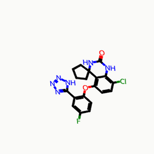 O=C1Nc2c(Cl)ccc(Oc3ccc(F)cc3-c3nnn[nH]3)c2C2(CCCC2)N1